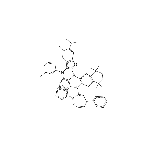 C/C=C\C(=C/CI)N1c2cc(C)cc3c2B(c2cc4c(cc2N3C2=CC(c3ccccc3)C=CC=C2c2ccccc2)C(C)(C)CCC4(C)C)c2oc3c(c21)CC(C)C(C(C)C)=C3